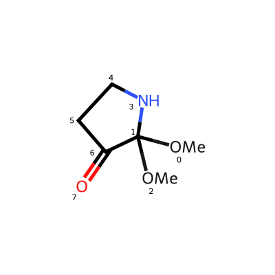 COC1(OC)NCCC1=O